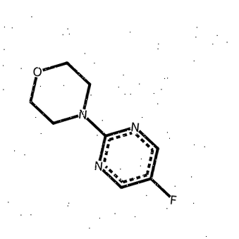 Fc1cnc(N2CCOCC2)nc1